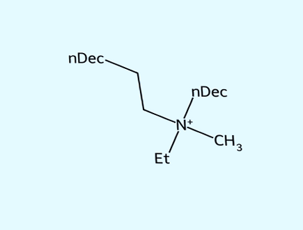 CCCCCCCCCCCC[N+](C)(CC)CCCCCCCCCC